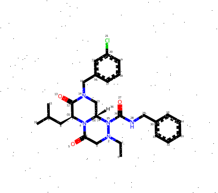 CCN1CC(=O)N2[C@@H](CC(C)C)C(=O)N(Cc3cccc(Cl)c3)C[C@@H]2N1C(=O)NCc1ccccc1